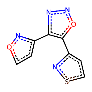 c1cc(-c2nnoc2-c2ccsn2)no1